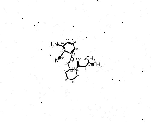 CC(C)CC(=O)N1CCCC[C@H]1COc1cccc(N)c1C#N